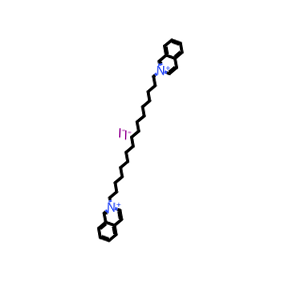 [I-].[I-].c1ccc2c[n+](CCCCCCCCCCCCCCCCC[n+]3ccc4ccccc4c3)ccc2c1